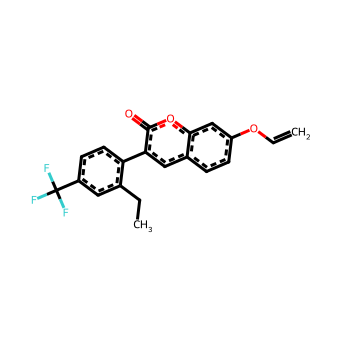 C=COc1ccc2cc(-c3ccc(C(F)(F)F)cc3CC)c(=O)oc2c1